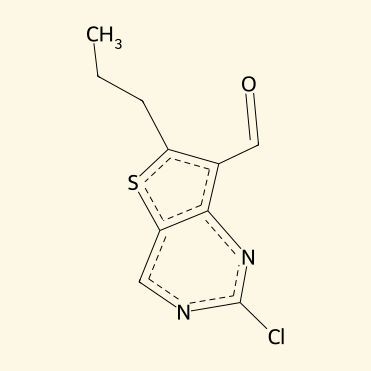 CCCc1sc2cnc(Cl)nc2c1C=O